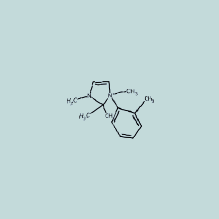 Cc1ccccc1[N+]1(C)C=CN(C)C1(C)C